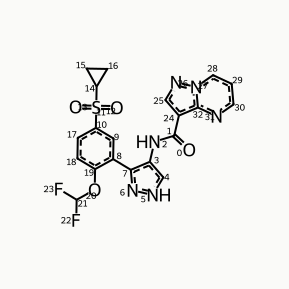 O=C(Nc1c[nH]nc1-c1cc(S(=O)(=O)C2CC2)ccc1OC(F)F)c1cnn2cccnc12